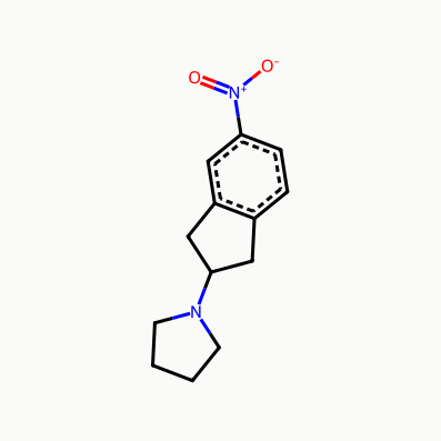 O=[N+]([O-])c1ccc2c(c1)CC(N1CCCC1)C2